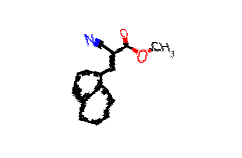 COC(=O)/C(C#N)=C/c1cccc2ccccc12